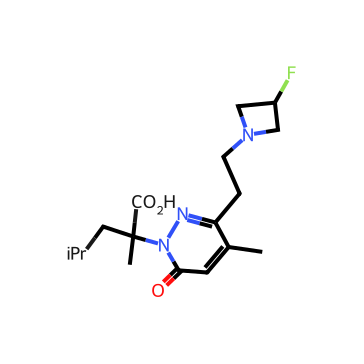 Cc1cc(=O)n(C(C)(CC(C)C)C(=O)O)nc1CCN1CC(F)C1